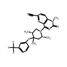 C[C@H]1CC(C)(Oc2cccc(C(F)(F)F)c2)[C@@H](C)CN1c1nc(=O)n(C)c2ccc(C#N)nc12